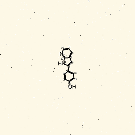 Oc1ccc(-c2cc3cccnc3[nH]2)cc1